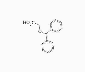 O=C(O)COC(c1ccccc1)c1ccccc1